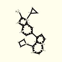 Cc1nc2ncc(-c3ccn4ncnc(N5CCC5)c34)cc2n1C1CC1